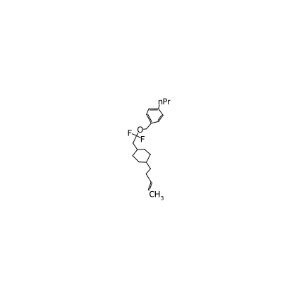 CC=CCCC1CCC(CC(F)(F)OCc2ccc(CCC)cc2)CC1